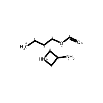 CCCCOC=O.NC1CNC1